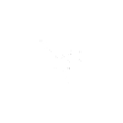 C=CC(=O)N1CC(C)N2c3nc(=O)n(-c4c(C)ccnc4C(C)C)c4c(F)c(-c5ccccc5F)c(Cl)c(c34)OCCC2C1